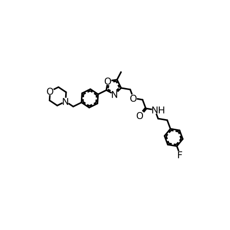 Cc1oc(-c2ccc(CN3CCOCC3)cc2)nc1COCC(=O)NCCc1ccc(F)cc1